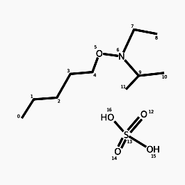 CCCCCON(CC)C(C)C.O=S(=O)(O)O